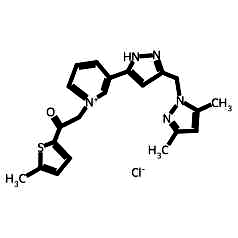 Cc1cc(C)n(Cc2cc(-c3ccc[n+](CC(=O)c4ccc(C)s4)c3)[nH]n2)n1.[Cl-]